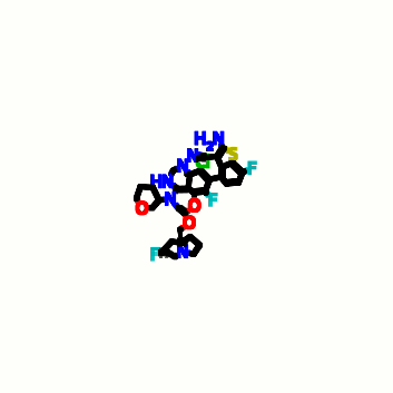 N#Cc1c(N)sc2c(F)ccc(-c3c(F)c4c5c(c3Cl)=NCNC=5N(C3CCCOC3)C=C(OC[C@@]35CCCN3C[C@H](F)C5)O4)c12